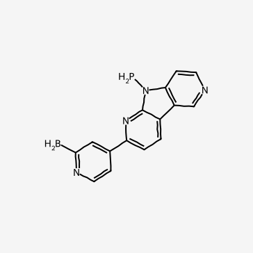 Bc1cc(-c2ccc3c4cnccc4n(P)c3n2)ccn1